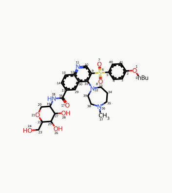 CCCCOc1ccc(S(=O)(=O)c2cnc3ccc(C(=O)NC4COC(CO)C(O)C4O)cc3c2N2CCCN(C)CC2)cc1